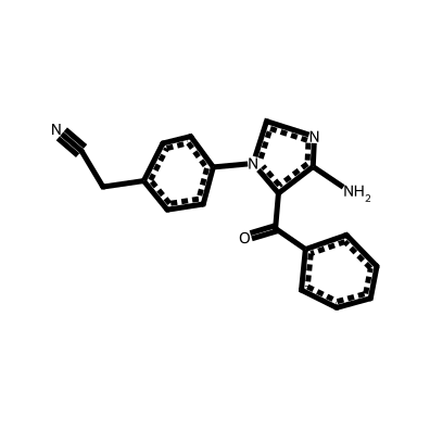 N#CCc1ccc(-n2cnc(N)c2C(=O)c2ccccc2)cc1